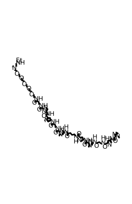 CCNCCN(C)CCOCCOCCOCCOCCOCCNC(=O)CCNC(=O)c1nc(NC(=O)c2cc(NC(=O)CCNC(=O)c3nc(NC(=O)CCCNC(=O)c4cc(NC(=O)c5nc(NC(=O)CCNC(=O)c6cc(NC(=O)c7nccn7C)cn6C)cn5C)cn4C)cn3C)cn2C)cn1C